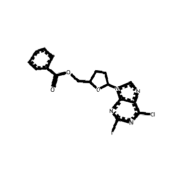 O=C(OCC1CCC(n2cnc3c(Cl)nc(I)nc32)O1)c1ccccc1